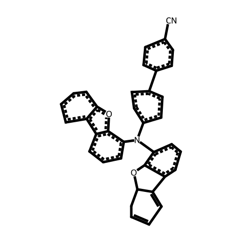 N#Cc1ccc(-c2ccc(N(c3cccc4c3OC3CC=CC=C43)c3cccc4c3oc3ccccc34)cc2)cc1